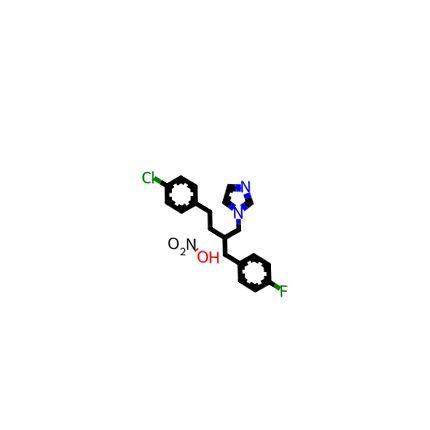 Fc1ccc(CC(CCc2ccc(Cl)cc2)Cn2ccnc2)cc1.O=[N+]([O-])O